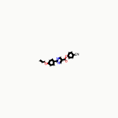 C=CCOc1ccc(-c2ncc(C(=O)Oc3ccc(C#N)cc3)cn2)cc1